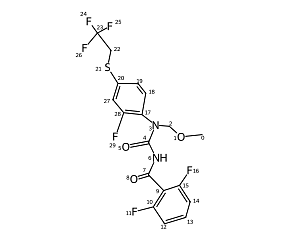 COCN(C(=O)NC(=O)c1c(F)cccc1F)c1ccc(SCC(F)(F)F)cc1F